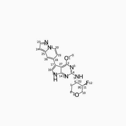 COc1nc(N[C@H]2CCOC[C@@H]2F)nc2[nH]cc(-c3ccn4nccc4c3)c12